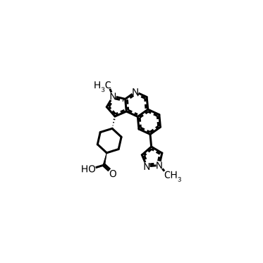 Cn1cc(-c2ccc3cnc4c(c3c2)c([C@H]2CC[C@H](C(=O)O)CC2)cn4C)cn1